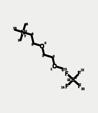 COCCOCC[N+](C)(C)C.F[B-](F)(F)F